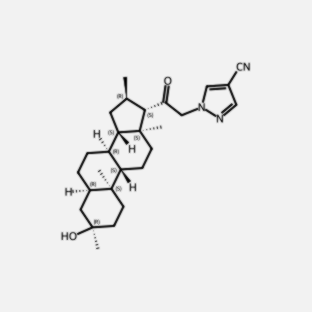 C[C@@H]1C[C@H]2[C@@H]3CC[C@@H]4C[C@](C)(O)CC[C@]4(C)[C@H]3CC[C@]2(C)[C@H]1C(=O)Cn1cc(C#N)cn1